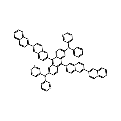 c1cncc(N(c2cccnc2)c2ccc3c(-c4ccc5cc(-c6ccc7ccccc7c6)ccc5c4)c4cc(N(c5cccnc5)c5cccnc5)ccc4c(-c4ccc5cc(-c6ccc7ccccc7c6)ccc5c4)c3c2)c1